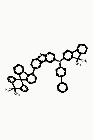 CC1(C)c2ccccc2-c2ccc(N(c3ccc(-c4ccccc4)cc3)c3ccc4sc5ccc(-c6cccc7c6-c6ccccc6C76c7ccccc7C(C)(C)c7ccccc76)cc5c4c3)cc21